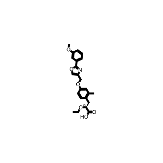 CCO[C@@H](Cc1ccc(OCc2coc(-c3cccc(OC)c3)n2)cc1C)C(=O)O